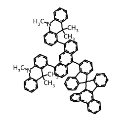 CN1c2ccccc2C(C)(C)c2c(-c3cccc4c(-c5cccc6c5-c5ccccc5C65c6ccccc6-c6c5c5ccccc5c5ccccc65)c5cccc(-c6cccc7c6C(C)(C)c6ccccc6N7C)c5cc34)cccc21